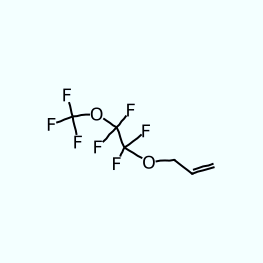 C=CCOC(F)(F)C(F)(F)OC(F)(F)F